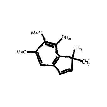 COc1cc2c(c(OC)c1OC)C(C)(C)C=C2